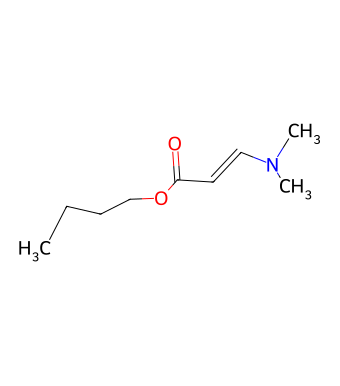 CCCCOC(=O)C=CN(C)C